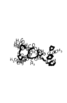 COc1ccc(N(CCS[C@@H]2C(=O)O[C@@]3(C)[C@H]2[C@@H](C)C(=O)[C@H](C)C[C@@](C)(OC)[C@@H]2O[C@@H]4O[C@H](C[C@@H]5O[C@H](C[C@@](C)(OC)[C@H]5O)O[C@@H]([C@@H]2C)[C@@H](C)C(=O)O[C@@H]3I)C[C@H](N(C)C)[C@H]4O)Cc2cccnc2)cc1OC1CCCC1